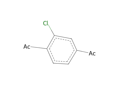 CC(=O)c1ccc(C(C)=O)c(Cl)c1